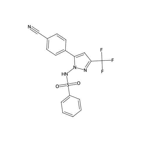 N#Cc1ccc(-c2cc(C(F)(F)F)nn2NS(=O)(=O)c2ccccc2)cc1